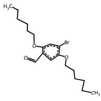 CCCCCCOc1cc(C=O)c(OCCCCCC)cc1Br